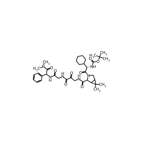 CN(C)C(=O)C(NC(=O)CNC(=O)C(=O)CNC(=O)C1C2C(CN1C(=O)[C@@H](NC(=O)OC(C)(C)C)C1CCCCC1)C2(C)C)c1ccccc1